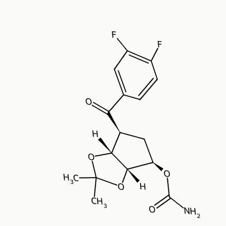 CC1(C)O[C@@H]2[C@H](O1)[C@@H](C(=O)c1ccc(F)c(F)c1)C[C@H]2OC(N)=O